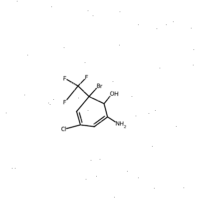 NC1=CC(Cl)=CC(Br)(C(F)(F)F)C1O